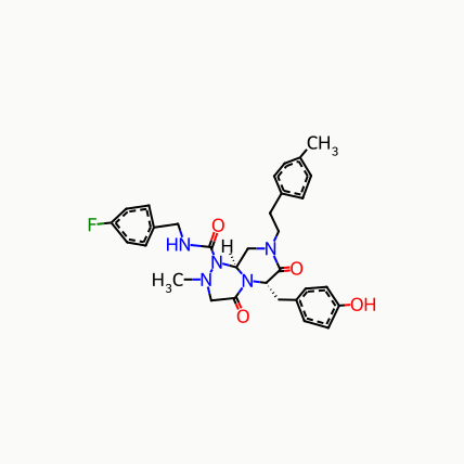 Cc1ccc(CCN2C[C@H]3N(C(=O)CN(C)N3C(=O)NCc3ccc(F)cc3)[C@@H](Cc3ccc(O)cc3)C2=O)cc1